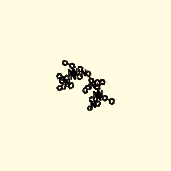 c1ccc(-c2ccc(-c3nc(-c4cc(-n5c6ccc(-c7cccc(-n8c9ccccc9c9c(-c%10nc(-c%11cccc(-c%12ccccc%12)c%11)nc(-c%11cc(-n%12c%13ccccc%13c%13cc%14ccccc%14cc%13%12)c%12oc%13ccccc%13c%12c%11)n%10)cccc98)c7)cc6c6cc7ccccc7cc65)c5oc6ccccc6c5c4)nc(-c4cccc5c4c4ccccc4n5-c4ccccc4)n3)cc2)cc1